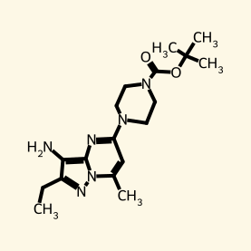 CCc1nn2c(C)cc(N3CCN(C(=O)OC(C)(C)C)CC3)nc2c1N